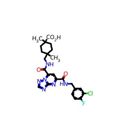 CC1(CNC(=O)c2cc(C(=O)NCc3ccc(F)c(Cl)c3)nc3ncnn23)CCC(C)(C(=O)O)CC1